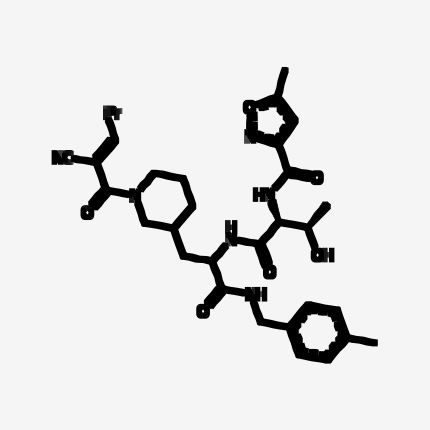 Cc1ccc(CNC(=O)C(CC2CCCN(C(=O)C(C#N)=CC(C)C)C2)NC(=O)[C@@H](NC(=O)c2cc(C)on2)[C@@H](C)O)cc1